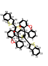 c1ccc2c(c1)Oc1ccccc1C21c2cc(-c3cc4ccccc4s3)sc2C2(c3ccccc3Oc3ccccc32)c2cc(-c3cc4ccccc4s3)sc21